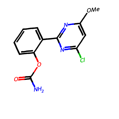 COc1cc(Cl)nc(-c2ccccc2OC(N)=O)n1